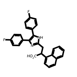 O=C(O)C(Cc1nc(-c2ccc(F)cc2)c(-c2ccc(F)cc2)[nH]1)c1cccc2ccccc12